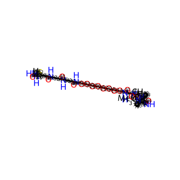 CO[C@@H]1[C@H](N(C)C(=O)CCC(=O)NCCOCCOCCOCCOCCOCCOCCOCCOCCNC(=O)CCCCCNC(=O)CCCCCNC(=O)CCCC[C@@H]2SC[C@@H]3NC(=O)N[C@@H]32)C[C@H]2O[C@]1(C)n1c3ccccc3c3c4c(c5c6ccccc6n2c5c31)C(=O)NC4